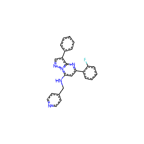 Fc1ccccc1-c1cc(NCc2ccncc2)n2ncc(-c3ccccc3)c2n1